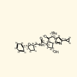 CC(C)(C)[C@@H](C(=O)N1C[C@H](O)C[C@H]1C(=O)NC[C@H]1CC[C@H](c2ccccc2)O1)n1cc(C2CC2)nn1